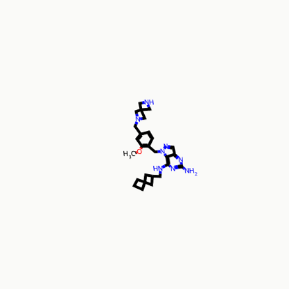 COc1cc(CN2CC3(CNC3)C2)ccc1Cn1ncc2nc(N)nc(NCC3CC4(CCC4)C3)c21